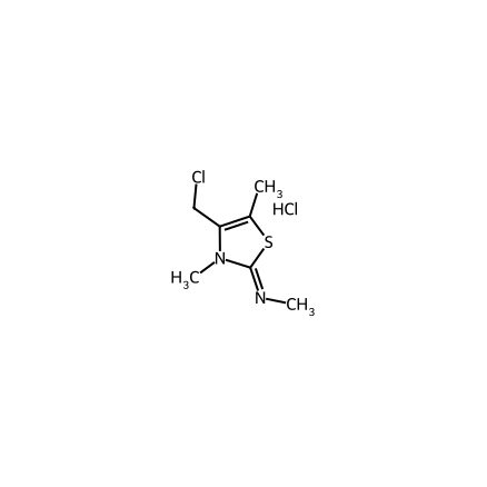 C/N=c1\sc(C)c(CCl)n1C.Cl